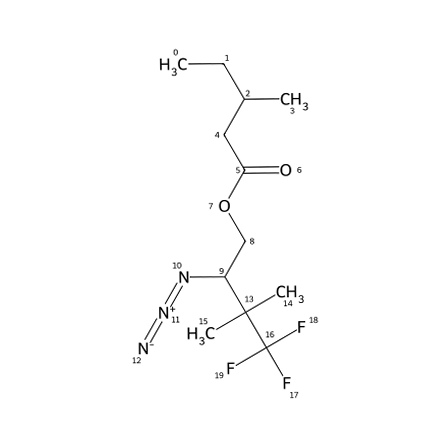 CCC(C)CC(=O)OCC(N=[N+]=[N-])C(C)(C)C(F)(F)F